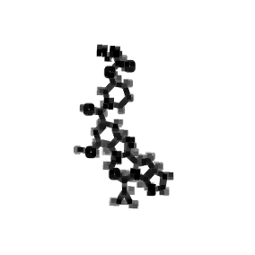 COc1cc(C(=O)N2CCCC(OC(N)=O)C2)cc2nc(-c3cc4ccsc4n3C(=O)C3CC3)n(C)c12